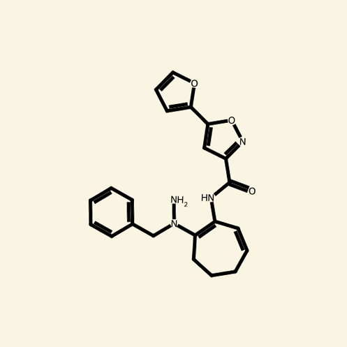 NN(Cc1ccccc1)C1=C(NC(=O)c2cc(-c3ccco3)on2)C=CCCC1